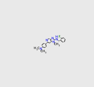 CN(C)c1ccc(-c2cc3c(cn2)nc(NCc2ccccc2F)n3C)cc1